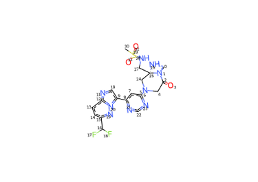 CN1C(=O)CN(c2cc(-c3cnc4ccc(C(F)F)nn34)ncn2)C[C@@]1(N)CNS(C)(=O)=O